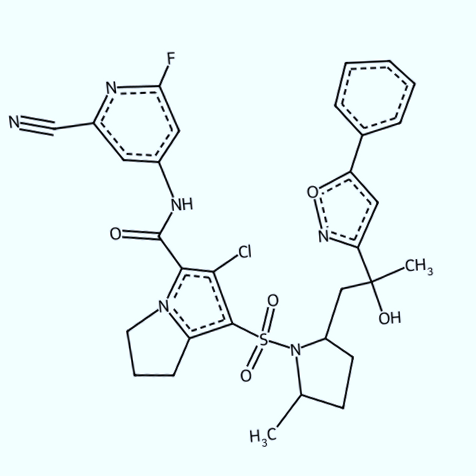 CC1CCC(CC(C)(O)c2cc(-c3ccccc3)on2)N1S(=O)(=O)c1c(Cl)c(C(=O)Nc2cc(F)nc(C#N)c2)n2c1CCC2